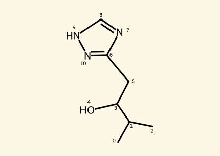 CC(C)C(O)Cc1nc[nH]n1